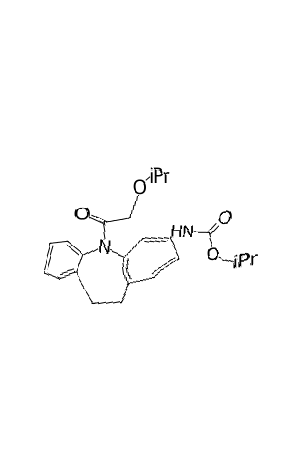 CC(C)OCC(=O)N1c2ccccc2CCc2ccc(NC(=O)OC(C)C)cc21